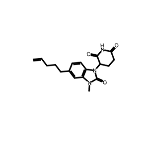 C=CCCCc1ccc2c(c1)n(C)c(=O)n2C1CCC(=O)NC1=O